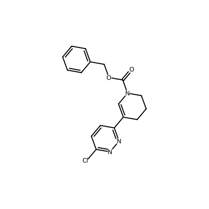 O=C(OCc1ccccc1)N1C=C(c2ccc(Cl)nn2)CCC1